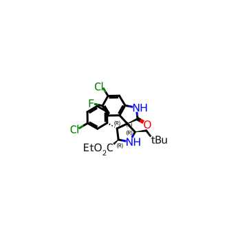 CCOC(=O)[C@@H]1N[C@H](CC(C)(C)C)[C@]2(C(=O)Nc3cc(Cl)c(F)cc32)[C@H]1c1cccc(Cl)c1